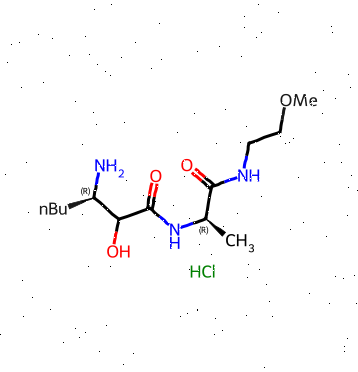 CCCC[C@@H](N)C(O)C(=O)N[C@H](C)C(=O)NCCOC.Cl